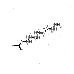 CC(C)NNNNNNNNN